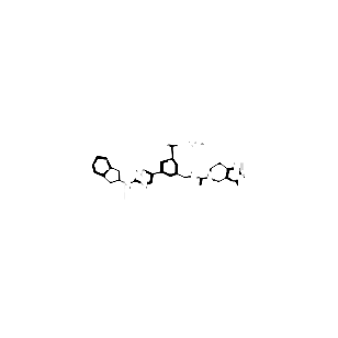 COC(=O)c1cc(CNC(=O)N2CCc3[nH]nnc3C2)cc(-c2cnc(NC3Cc4ccccc4C3)nc2)c1